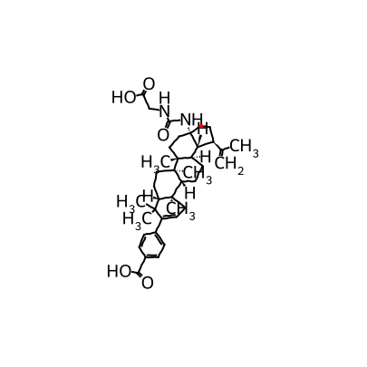 C=C(C)[C@@H]1CC[C@]2(NC(=O)NCC(=O)O)CC[C@]3(C)[C@H](CC[C@@H]4[C@@]5(C)CC=C(c6ccc(C(=O)O)cc6)C(C)(C)[C@@H]5CC[C@]43C)[C@@H]12